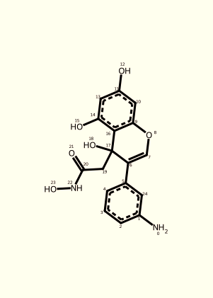 Nc1cccc(C2=COc3cc(O)cc(O)c3C2(O)CC(=O)NO)c1